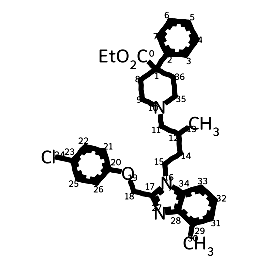 CCOC(=O)C1(c2ccccc2)CCN(CC(C)CCn2c(COc3ccc(Cl)cc3)nc3c(C)cccc32)CC1